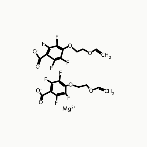 C=COCCOc1c(F)c(F)c(C(=O)[O-])c(F)c1F.C=COCCOc1c(F)c(F)c(C(=O)[O-])c(F)c1F.[Mg+2]